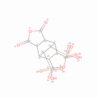 O=C1OC(=O)C2C1C1C3C(=O)OC(=O)C3C2C(S(=O)(=O)O)C1S(=O)(=O)O